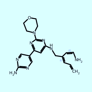 C=C/C=C(\C=C/N)CNc1cc(-c2cnc(N)nc2)nc(N2CCOCC2)n1